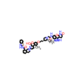 CNc1cc(NC(=O)CN2CC[C@@H](CCCOc3ccc(-c4ccc(N5CCc6cccc(C(=O)Nc7nc8ccccc8s7)c6C5)nc4C(=O)O)c(C)c3)C[C@@H]2C)ccc1C(=N)C1CCC(=O)NC1=O